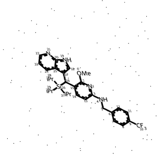 COc1nc(NCc2ccc(C(F)(F)F)cc2)ccc1C(c1c[nH]c2ncccc12)[Si](C(C)C)(C(C)C)C(C)C